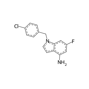 Nc1cc(F)cc2c1ccn2Cc1ccc(Cl)cc1